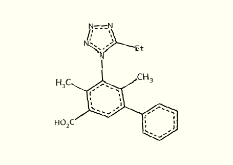 CCc1nnnn1-c1c(C)c(C(=O)O)cc(-c2ccccc2)c1C